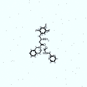 N[C@@H](CC(=O)N1Cc2ccccc2C[C@H]1C(=O)NCc1ncccn1)Cc1cc(F)c(F)cc1F